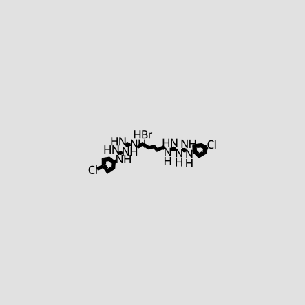 Br.N=C(NCCCCCCNC(=N)NC(=N)Nc1ccc(Cl)cc1)NC(=N)Nc1ccc(Cl)cc1